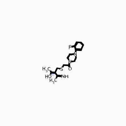 CC(=N)/C(CSCC(=O)N1CCN(c2ccccc2F)CC1)=C(/C)O